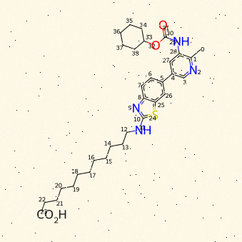 Cc1ncc(-c2ccc3nc(NCCCCCCCCCCCC(=O)O)sc3c2)cc1NC(=O)OC1CCCCC1